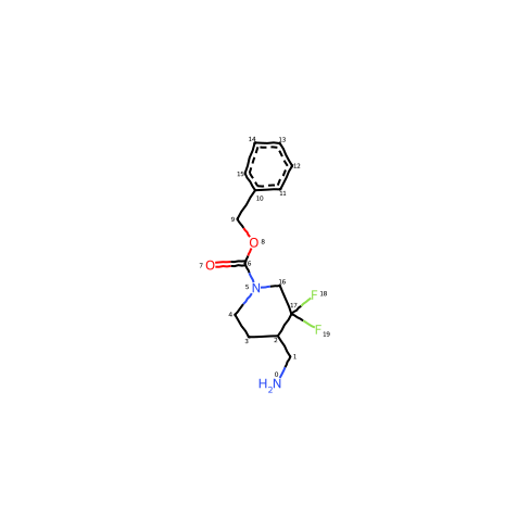 NCC1CCN(C(=O)OCc2ccccc2)CC1(F)F